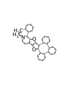 Cc1ccccc1-c1c2oc3c4c(oc3c2cc[n+]1C)-c1ccccc1-c1ccccc1-c1ccccc1-4